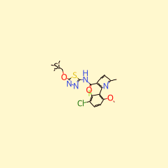 COc1ccc(Cl)c(F)c1-c1nc(C)ccc1C(=O)Nc1nnc(OC[Si](C)(C)C)s1